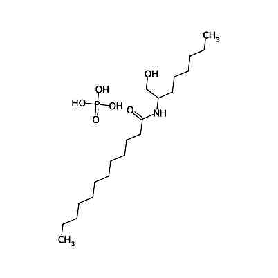 CCCCCCCCCCCC(=O)NC(CO)CCCCCC.O=P(O)(O)O